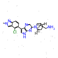 Cn1cc2c(Cl)c(-c3c[nH]c4nc(N5CC6CC[C@H]5C[C@H]6CN)cnc34)ccc2n1